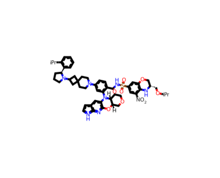 CC(C)OC[C@H]1COc2cc(S(=O)(=O)NC(=O)c3ccc(N4CCC5(CC4)CC(N4CCC[C@H]4c4ccccc4C(C)C)C5)cc3N3c4cc5cc[nH]c5nc4O[C@H]4COCC[C@H]43)cc([N+](=O)[O-])c2N1